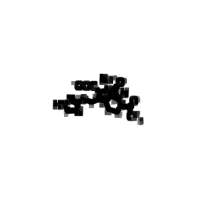 O=C([O-])C1=C(CSc2nc[nH]n2)C2CCN(C(=O)C(F)(F)F)[C@@H]3C(=O)N1[C@H]23.[Na+]